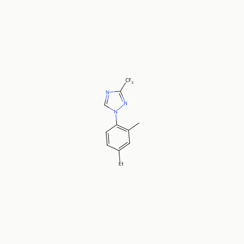 CCc1ccc(-n2cnc(C(F)(F)F)n2)c(C)c1